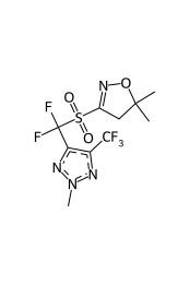 Cn1nc(C(F)(F)F)c(C(F)(F)S(=O)(=O)C2=NOC(C)(C)C2)n1